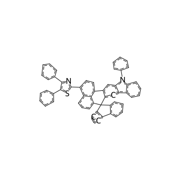 c1ccc(-c2nc(-c3ccc4c5c(cccc35)C3(c5ccccc5-c5ccccc53)c3cc5c6ccccc6n(-c6ccccc6)c5cc3-4)sc2-c2ccccc2)cc1